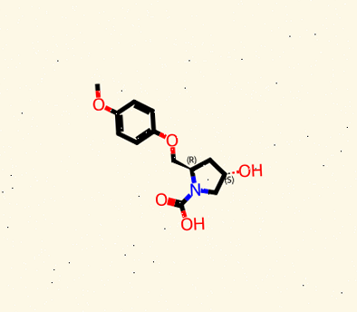 COc1ccc(OC[C@H]2C[C@H](O)CN2C(=O)O)cc1